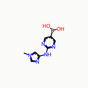 Cn1cnc(Nc2ncc(B(O)O)cn2)c1